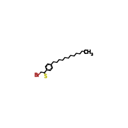 CCCCCCCCCCCCc1ccc(C(=S)CBr)cc1